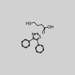 O=C(O)CCCS.c1ccc(-c2ncsc2-c2ccccc2)cc1